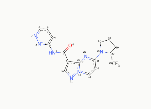 O=C(Nc1cccnn1)c1cnn2ccc(N3CCC[C@@H]3C(F)(F)F)nc12